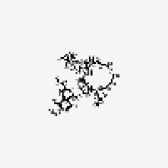 CCOc1cc(O[C@@H]2C[C@H]3C(=O)N[C@]4(C(=O)NS(=O)(=O)C5(C)CC5)C[C@H]4/C=C\CCCCC[C@H](N=C=O)C(=O)N3C2)c2ccc(OC)c(C)c2n1